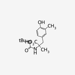 Cc1cc(CC(C)(NC(=O)OC(C)(C)C)C(=O)O)ccc1O